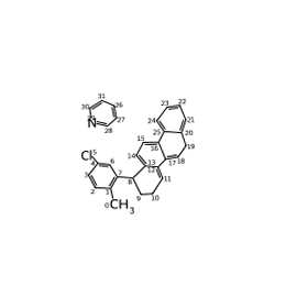 Cc1ccc(Cl)cc1C1CCC=c2c1ccc1c2=CCc2ccccc2-1.c1ccncc1